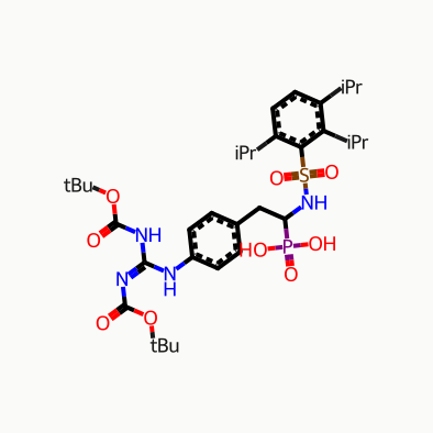 CC(C)c1ccc(C(C)C)c(S(=O)(=O)NC(Cc2ccc(NC(=NC(=O)OC(C)(C)C)NC(=O)OC(C)(C)C)cc2)P(=O)(O)O)c1C(C)C